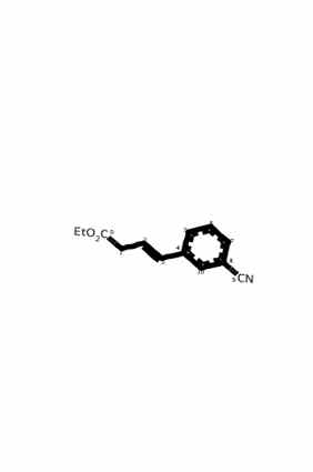 CCOC(=O)CC=Cc1cccc(C#N)c1